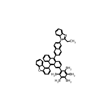 Bc1c(B)c(B)c(-c2ccc3c(-c4ccc5cc(-n6c(CC)nc7ccccc76)ccc5c4)c4ccccc4c(-c4cccc5oc6ccccc6c45)c3c2)c(B)c1B